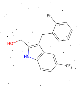 CCc1ccccc1Cc1c(CO)[nH]c2ccc(C(F)(F)F)cc12